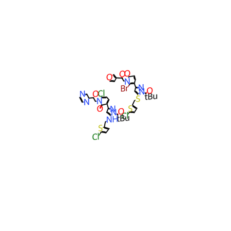 CC(C)(C)C(=O)n1nc(-c2ccc(=O)n(CC(=O)c3ccoc3)c2Br)cc1SCc1ccc(Cl)s1.CC(C)(C)C(=O)n1nc(-c2ccc(Cl)n(CC(=O)c3cnccn3)c2=O)cc1NCc1ccc(Cl)s1